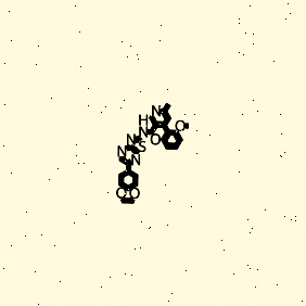 COc1ccccc1-c1cc(C)ncc1C(=O)Nc1nc2ncc(C3CCC4(CC3)OCCO4)nc2s1